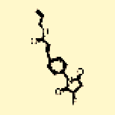 C=CCOC(=O)C=Cc1ccc(N2C(=O)CC(F)C2=O)cc1